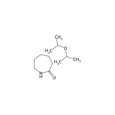 CC(C)OC(C)C.O=C1CCCCCN1